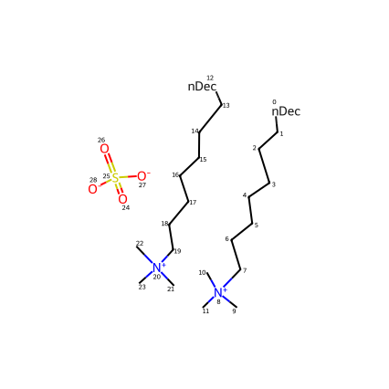 CCCCCCCCCCCCCCCCC[N+](C)(C)C.CCCCCCCCCCCCCCCCC[N+](C)(C)C.O=S(=O)([O-])[O-]